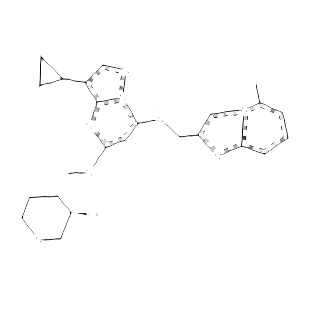 Cc1cccc2nc(CNc3cc(NC[C@H]4CCNC[C@@H]4O)nc4c(C5CC5)cnn34)cn12